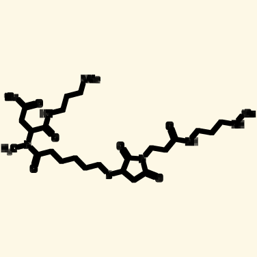 CNCCCNC(=O)C(CC(=O)C(C)(C)C)N(C)C(=O)CCCCCSC1CC(=O)N(CCC(=O)NCCCNC(C)(C)C)C1=O